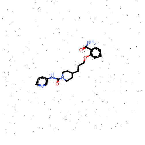 NC(=O)c1ccccc1OCCCC1CCN(C(=O)Nc2cccnc2)CC1